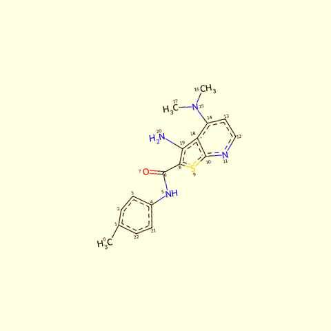 Cc1ccc(NC(=O)c2sc3nccc(N(C)C)c3c2N)cc1